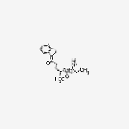 CCC(C=CC(=O)N1CCc2ccccc21)NC(=O)[C@@H](N)CC